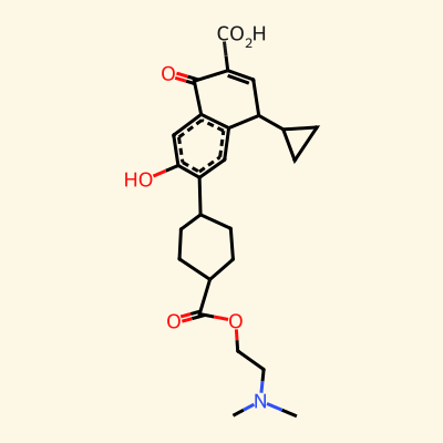 CN(C)CCOC(=O)C1CCC(c2cc3c(cc2O)C(=O)C(C(=O)O)=CC3C2CC2)CC1